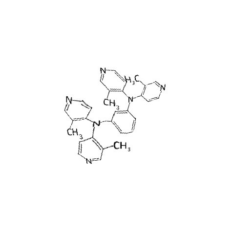 Cc1cnccc1N(c1cccc(N(c2ccncc2C)c2ccncc2C)c1)c1ccncc1C